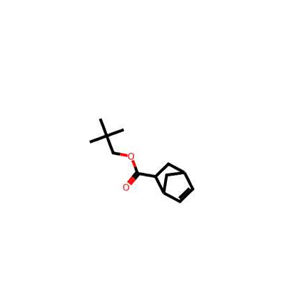 CC(C)(C)COC(=O)C1CC2C=CC1C2